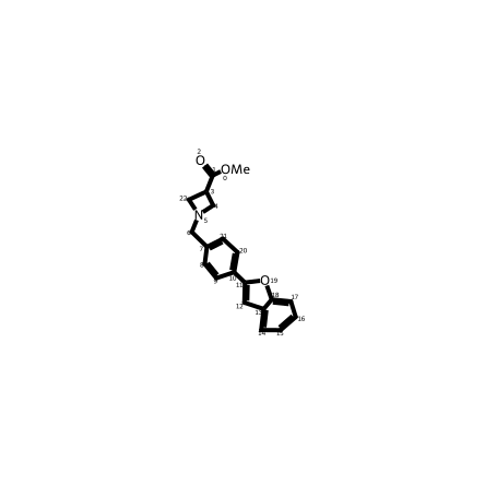 COC(=O)C1CN(Cc2ccc(-c3cc4ccccc4o3)cc2)C1